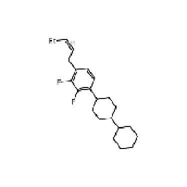 CC/C=C\Cc1ccc(C2CCC(C3CCCCC3)CC2)c(F)c1F